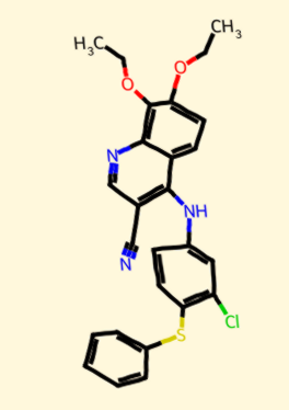 CCOc1ccc2c(Nc3ccc(Sc4ccccc4)c(Cl)c3)c(C#N)cnc2c1OCC